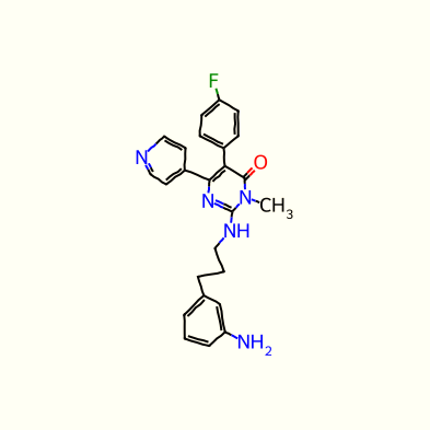 Cn1c(NCCCc2cccc(N)c2)nc(-c2ccncc2)c(-c2ccc(F)cc2)c1=O